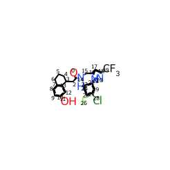 O=C(CC1CCCc2ccc(O)cc21)NCc1cc(C(F)(F)F)nn1-c1ccc(F)c(Cl)c1